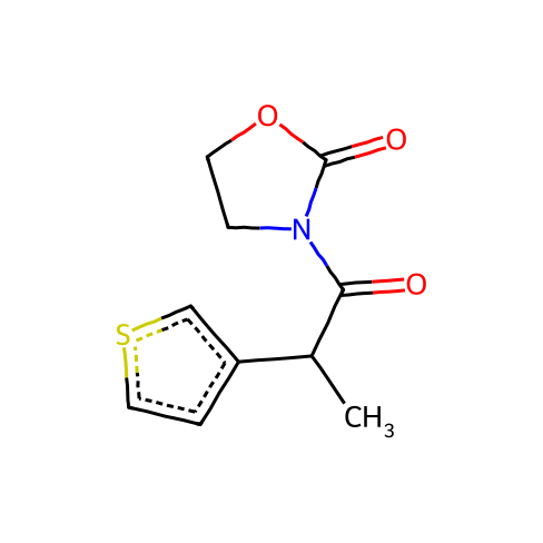 CC(C(=O)N1CCOC1=O)c1ccsc1